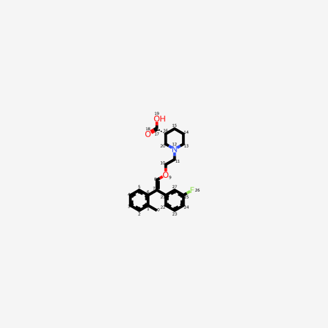 Cc1ccccc1/C(=C/OCCN1CCC[C@@H](C(=O)O)C1)c1cccc(F)c1